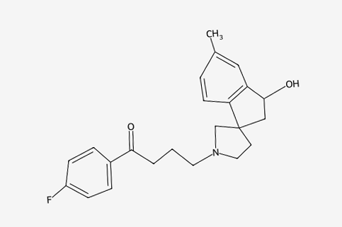 Cc1ccc2c(c1)C(O)CC21CCN(CCCC(=O)c2ccc(F)cc2)C1